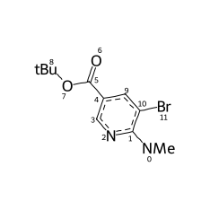 CNc1ncc(C(=O)OC(C)(C)C)cc1Br